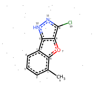 Cc1cccc2c1oc1c(Cl)n[nH]c12